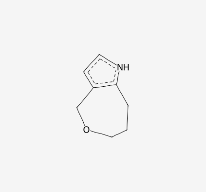 c1cc2c([nH]1)CCCOC2